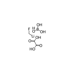 O=C(O)C(=O)O.OB(O)O.[Li][CH2]F